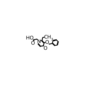 CCc1c(OCc2ccccc2)c(=O)ccn1CC(=O)O